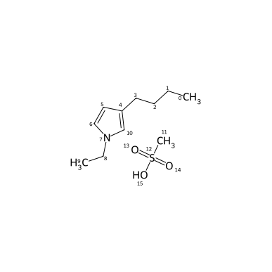 CCCCc1ccn(CC)c1.CS(=O)(=O)O